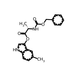 Cc1ccc2[nH]cc(OC(=O)[C@H](C)NC(=O)OCc3ccccc3)c2c1